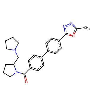 Cc1nnc(-c2ccc(-c3ccc(C(=O)N4CCCC4CN4CCCC4)cc3)cc2)o1